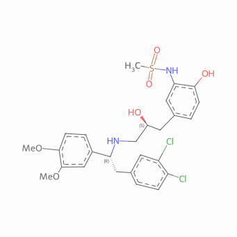 COc1ccc([C@@H](Cc2ccc(Cl)c(Cl)c2)NC[C@@H](O)Cc2ccc(O)c(NS(C)(=O)=O)c2)cc1OC